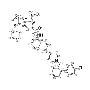 O=[N+]([O-])c1cc(S(=O)(=O)Nc2ncnc3cc(N4CCN(Cc5ccccc5-c5ccc(Cl)cc5)CC4)ccc23)ccc1NC1(CSc2ccccc2)CC1